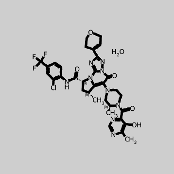 Cc1ncnc(C(=O)N2CCN(c3c4n(c5nc(C6=CCOCC6)nn5c3=O)[C@@H](C(=O)Nc3ccc(C(F)(F)F)cc3Cl)C[C@H]4C)C[C@H]2C)c1O.O